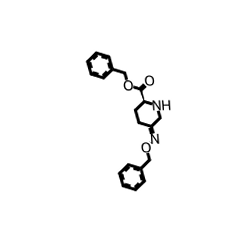 O=C(OCc1ccccc1)[C@@H]1CC/C(=N\OCc2ccccc2)CN1